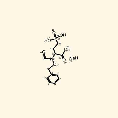 O=CN(OCc1ccccc1)C(CCP(=O)(O)O)C(=O)O.[NaH]